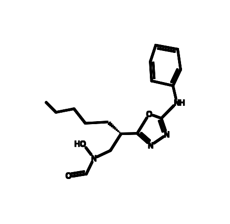 CCCCC[C@@H](CN(O)C=O)c1nnc(Nc2ccccc2)o1